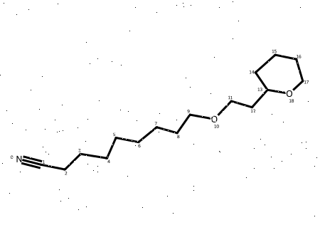 N#CCCCCCCCCOCCC1CCCCO1